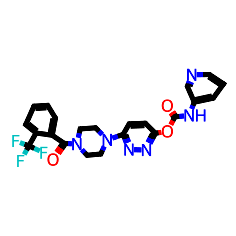 O=C(Nc1cccnc1)Oc1ccc(N2CCN(C(=O)c3ccccc3C(F)(F)F)CC2)nn1